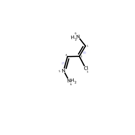 N/C=C(Cl)\C=N/N